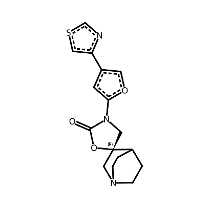 O=C1O[C@]2(CN3CCC2CC3)CN1c1cc(-c2cscn2)co1